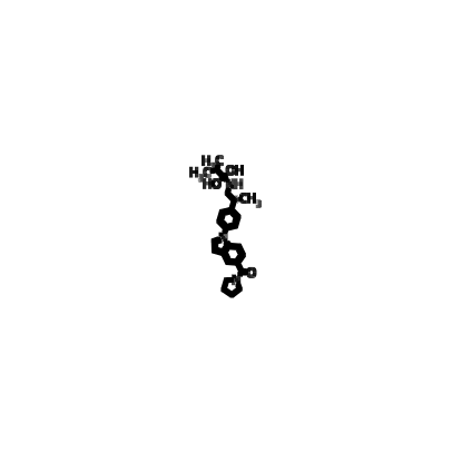 CC(C)C(O)(O)NC[C@H](C)c1ccc(-n2ccc3cc(C(=O)N4CCCC4)ccc32)cc1